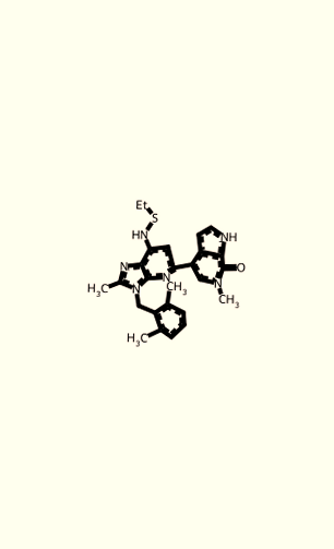 CCSNc1cc(-c2cn(C)c(=O)c3[nH]ccc23)nc2c1nc(C)n2Cc1c(C)cccc1C